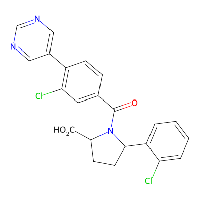 O=C(O)C1CCC(c2ccccc2Cl)N1C(=O)c1ccc(-c2cncnc2)c(Cl)c1